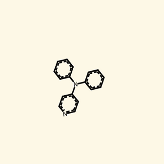 c1ccc(N(c2ccccc2)c2ccncc2)cc1